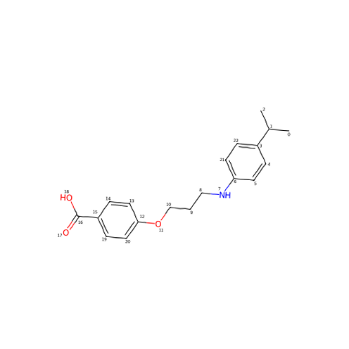 CC(C)c1ccc(NCCCOc2ccc(C(=O)O)cc2)cc1